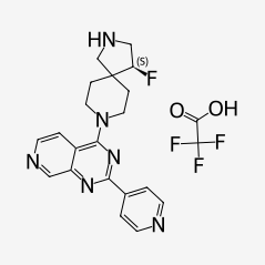 F[C@@H]1CNCC12CCN(c1nc(-c3ccncc3)nc3cnccc13)CC2.O=C(O)C(F)(F)F